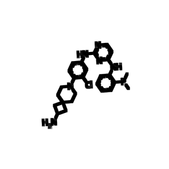 CP(C)c1ccccc1Nc1ccnc(Nc2ccc(N3CCC4(CC3)CC(N)C4)c(Cl)c2)n1